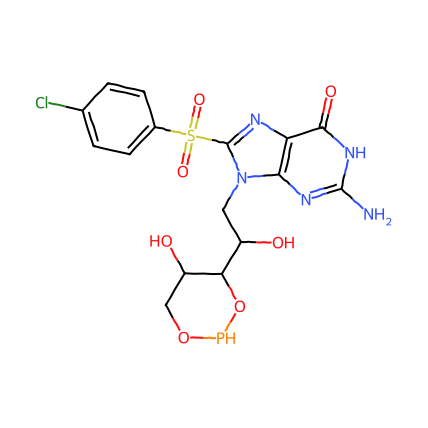 Nc1nc2c(nc(S(=O)(=O)c3ccc(Cl)cc3)n2CC(O)C2OPOCC2O)c(=O)[nH]1